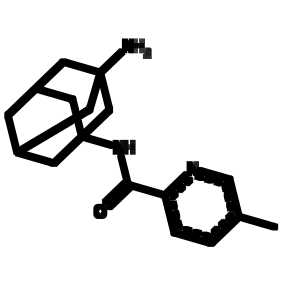 Cc1ccc(C(=O)NC23CC4CC(CC(N)(C4)C2)C3)nc1